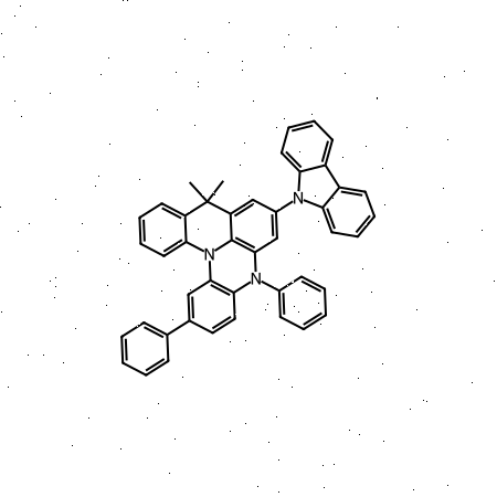 CC1(C)c2ccccc2N2c3cc(-c4ccccc4)ccc3N(c3ccccc3)c3cc(-n4c5ccccc5c5ccccc54)cc1c32